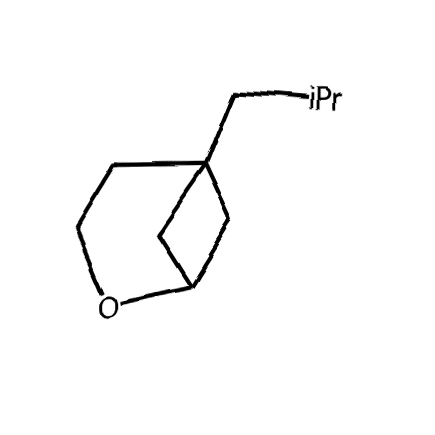 CC(C)CC12CCOC(C1)C2